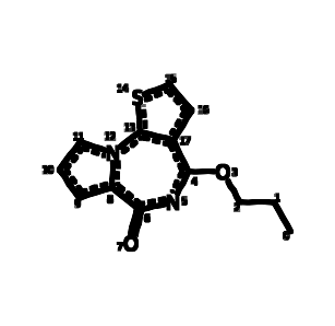 CCCOc1nc(=O)c2cccn2c2sccc12